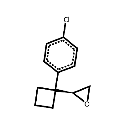 Clc1ccc(C2([C@H]3CO3)CCC2)cc1